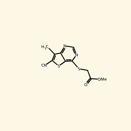 [C-]#[N+]c1sc2c(SCC(=O)OC)ncnc2c1C